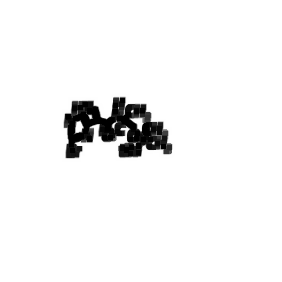 CC(C)(CO[Si](C)(C)C(C)(C)C)NC(=O)c1c[nH]c2ncc(Br)nc12